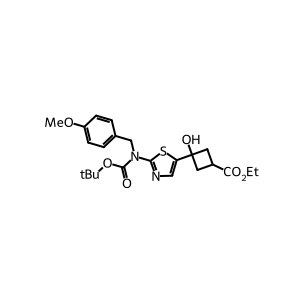 CCOC(=O)C1CC(O)(c2cnc(N(Cc3ccc(OC)cc3)C(=O)OC(C)(C)C)s2)C1